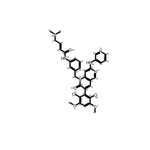 COc1cc(OC)c(Cl)c(-c2cc3cnc(Nc4cccnc4)cc3n(Cc3cccc(NC(=O)/C=C/CN(C)C)c3)c2=O)c1Cl